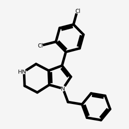 Clc1ccc(-c2cn(Cc3ccccc3)c3c2CNCC3)c(Cl)c1